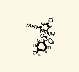 CNc1nc(Cl)cc(NS(=O)(=O)c2ccc(Cl)cc2)n1